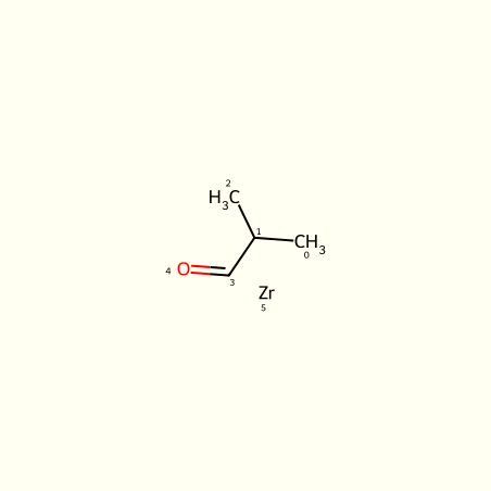 CC(C)C=O.[Zr]